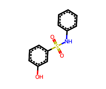 O=S(=O)(Nc1ccccc1)c1cccc(O)c1